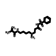 C=C(C)C(=O)NCCCCN(C)CCC(=O)NS(=O)(=O)c1ccccc1